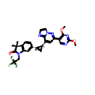 COc1ncc(-c2cc([C@H]3C[C@@H]3c3ccc4c(c3)N(CC(F)(F)F)C(=O)C4(C)C)c3nccn3n2)c(OC)n1